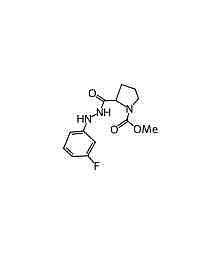 COC(=O)N1CCCC1C(=O)NNc1cccc(F)c1